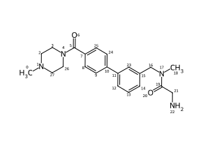 CN1CCN(C(=O)c2ccc(-c3cccc(CN(C)C(=O)CN)c3)cc2)CC1